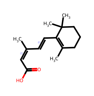 CC1=C(/C=C/C(C)=C\C(=O)O)C(C)(C)CCC1